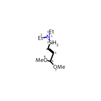 CCN(CC)[SiH2]C=CC(OC)OC